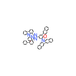 c1ccc(-c2cccc(-c3nc(-c4cc(-n5c6cc7ccccc7cc6c6cc7ccccc7cc65)c5oc6cc7ccccc7cc6c5c4)nc(-c4cccc5c6ccccc6n(-c6ccccc6)c45)n3)c2)cc1